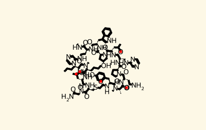 CCCC[C@H](NC)C(=O)N(C)[C@@H](CCCC)C(=O)N[C@@H](CC(C)C)C(=O)N[C@@H](CSCC(=O)N[C@@H](Cc1ccc(O)cc1)C(=O)N(C)[C@@H](C)C(=O)N[C@@H](CC(N)=O)C(=O)N1CCC[C@H]1C(=O)N[C@@H](CNc1cnccn1)C(=O)N[C@@H](CC(C)C)C(=O)N1C[C@H](O)C[C@H]1C(=O)N[C@@H](Cc1c[nH]c2ccccc12)C(=O)N[C@@H](CCNc1cnccn1)C(=O)NC)C(=O)NCC(N)=O